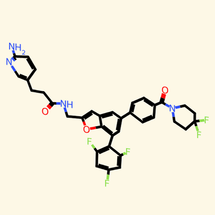 Nc1ccc(CCC(=O)NCc2cc3cc(-c4ccc(C(=O)N5CCC(F)(F)CC5)cc4)cc(-c4c(F)cc(F)cc4F)c3o2)cn1